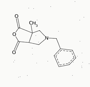 CC12CN(Cc3ccccc3)CC1C(=O)OC2=O